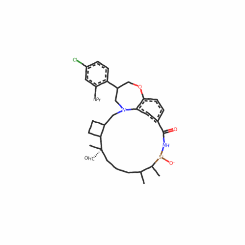 CCCc1cc(Cl)ccc1C1COc2ccc3cc2N(C1)CC1CCC1[C@@](C)(C=O)CCCC(C)C(C)[S+]([O-])NC3=O